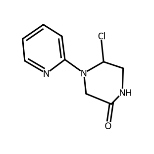 O=C1CN(c2ccccn2)C(Cl)CN1